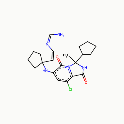 CC1(C2CCCC2)NC(=O)c2c(Cl)cc(NC3(/C=C\N=C/N)CCCC3)c(=O)n21